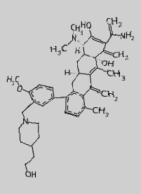 C=C(N)C1=C(O)[C@@H](N(C)C)[C@@H]2C[C@@H]3Cc4c(-c5ccc(OC)c(CN6CCC(CCO)CC6)c5)ccc(C)c4C(=C)C3=C(C)[C@]2(O)C1=C